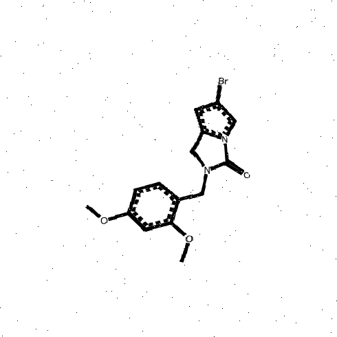 COc1ccc(CN2Cc3cc(Br)cn3C2=O)c(OC)c1